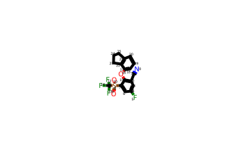 N#Cc1cc(F)cc(S(=O)(=O)C(F)(F)F)c1Oc1cccc2c1CCC2